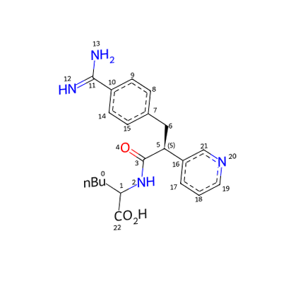 CCCCC(NC(=O)[C@@H](Cc1ccc(C(=N)N)cc1)c1cccnc1)C(=O)O